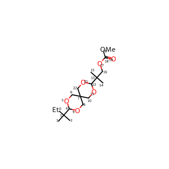 CCC(C)(C)C1OCC2(CO1)COC(C(C)(C)COC(=O)OC)OC2